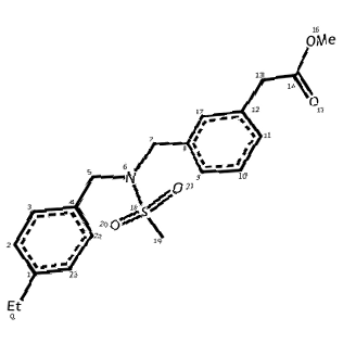 CCc1ccc(CN(Cc2cccc(CC(=O)OC)c2)S(C)(=O)=O)cc1